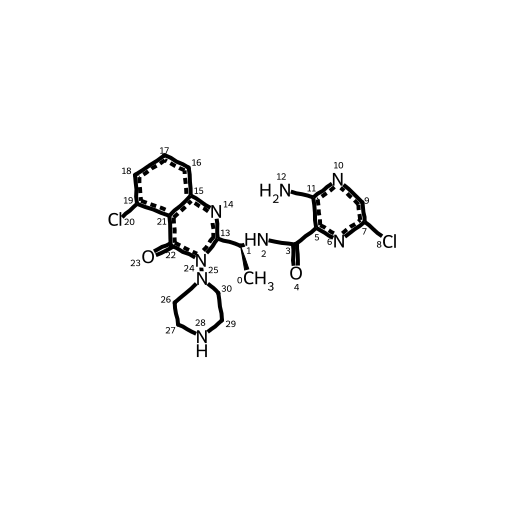 C[C@H](NC(=O)c1nc(Cl)cnc1N)c1nc2cccc(Cl)c2c(=O)n1N1CCNCC1